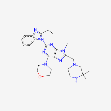 CCc1nc2ccccc2n1-c1nc(N2CCOCC2)c2nc(CN3CCNC(C)(C)C3)n(C)c2n1